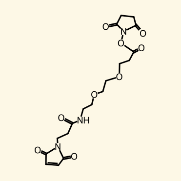 O=C(CCN1C(=O)C=CC1=O)NCCOCCOCCC(=O)ON1C(=O)CCC1=O